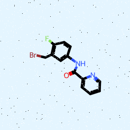 O=C(Nc1ccc(F)c(CBr)c1)c1ccccn1